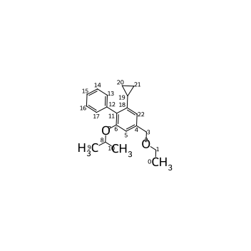 CCOCc1cc(OC(C)C)c(-c2ccccc2)c(C2CC2)c1